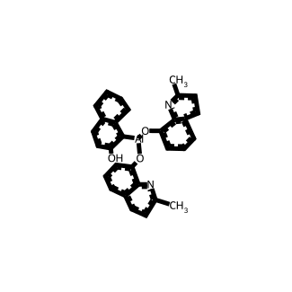 Cc1ccc2cccc([O][Al]([O]c3cccc4ccc(C)nc34)[c]3c(O)ccc4ccccc34)c2n1